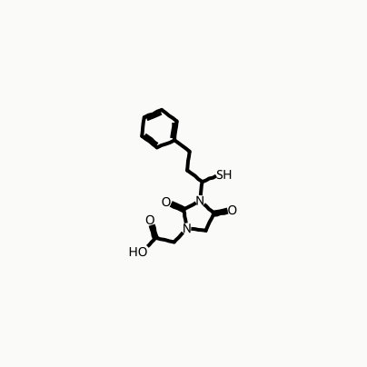 O=C(O)CN1CC(=O)N(C(S)CCc2ccccc2)C1=O